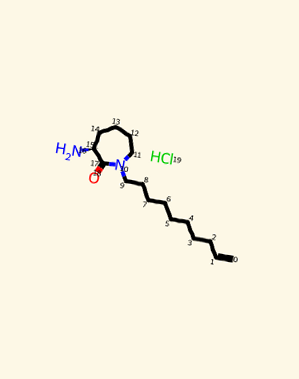 C=CCCCCCCCCN1CCCC[C@H](N)C1=O.Cl